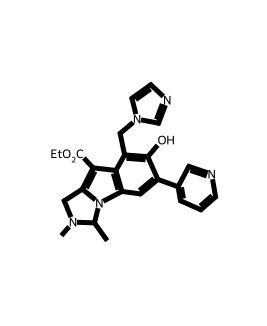 CCOC(=O)c1c2n(c3cc(-c4cccnc4)c(O)c(Cn4ccnc4)c13)C(C)N(C)C2